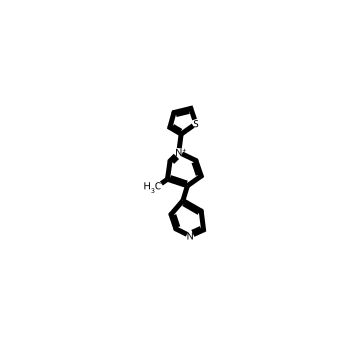 Cc1c[n+](-c2cccs2)ccc1-c1ccncc1